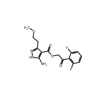 COCCc1n[nH]c(N)c1C(=O)OCC(=O)c1c(F)cccc1F